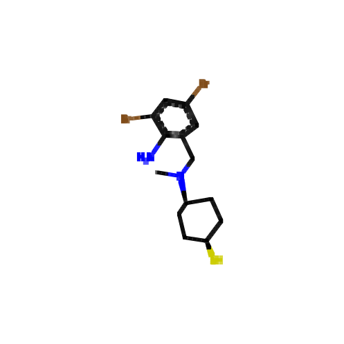 CN(Cc1cc(Br)cc(Br)c1N)[C@H]1CC[C@@H](S)CC1